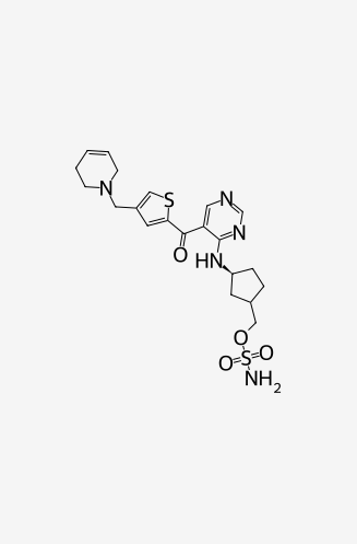 NS(=O)(=O)OCC1CC[C@H](Nc2ncncc2C(=O)c2cc(CN3CC=CCC3)cs2)C1